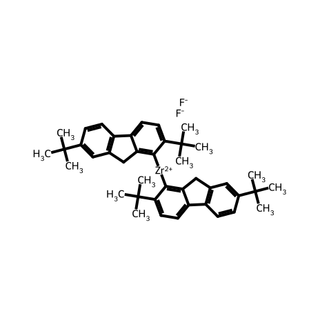 CC(C)(C)c1ccc2c(c1)Cc1c-2ccc(C(C)(C)C)[c]1[Zr+2][c]1c(C(C)(C)C)ccc2c1Cc1cc(C(C)(C)C)ccc1-2.[F-].[F-]